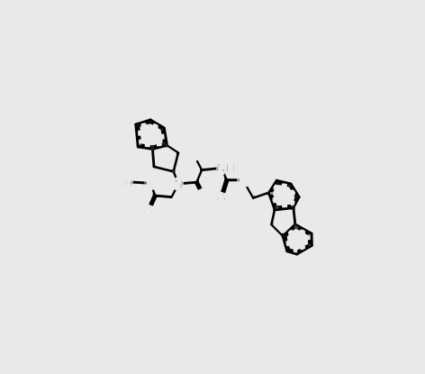 CC(C)C(NC(=O)OCc1cccc2c1Cc1ccccc1-2)C(=O)N(CC(=O)OC(C)(C)C)C1Cc2ccccc2C1